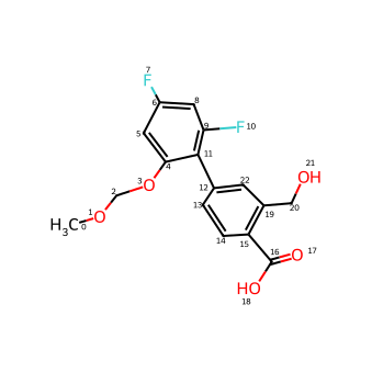 COCOc1cc(F)cc(F)c1-c1ccc(C(=O)O)c(CO)c1